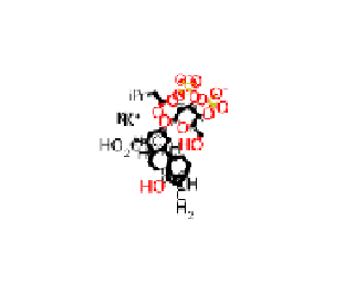 C=C1[C@H]2CC[C@H]3[C@]4(C)C[C@H](O[C@@H]5O[C@H](CO)[C@@H](OS(=O)(=O)[O-])[C@H](OS(=O)(=O)[O-])[C@H]5OC(=O)CC(C)C)C[C@@H](C(=O)O)[C@H]4CC[C@]3(C2)[C@H]1O.[K+].[K+]